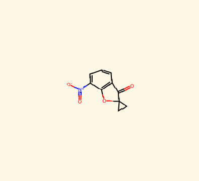 O=C1c2cccc([N+](=O)[O-])c2OC12CC2